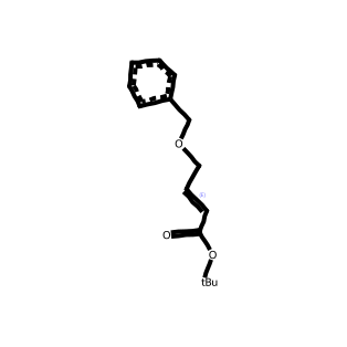 CC(C)(C)OC(=O)/C=C/COCc1ccccc1